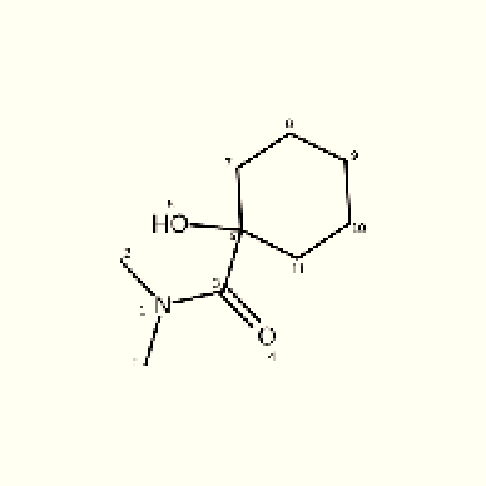 CN(C)C(=O)C1(O)CCCCC1